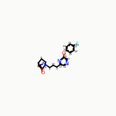 O=C1C2CCC(CC2)N1CCCc1cncc(Oc2ccc(F)cc2)n1